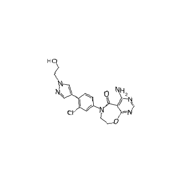 Nc1ncnc2c1C(=O)N(c1ccc(-c3cnn(CCO)c3)c(Cl)c1)CCO2